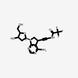 Nc1ncnc2c1C(C#CNC(=O)C(F)(F)F)CN2[C@H]1CC(O)C(CO)O1